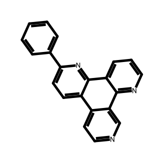 c1ccc(-c2ccc3c4ccncc4c4ncccc4c3n2)cc1